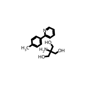 Cc1ccc(-c2ccccn2)cc1.NC(CO)(CO)CO